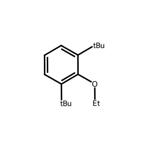 [CH2]COc1c(C(C)(C)C)cccc1C(C)(C)C